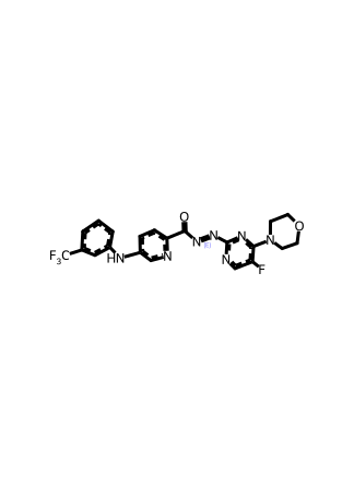 O=C(/N=N/c1ncc(F)c(N2CCOCC2)n1)c1ccc(Nc2cccc(C(F)(F)F)c2)cn1